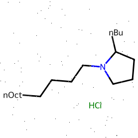 CCCCCCCCCCCCN1CCCC1CCCC.Cl